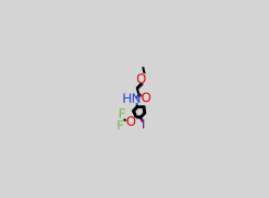 CCOC=CC(=O)Nc1ccc(I)c(OC(F)F)c1